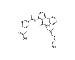 C=C(NC/C(C)=C/C=C\C=N)c1c(/N=C(\C)c2cncc(CC(=O)O)c2)cccc1-c1ccccc1